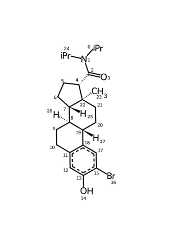 CC(C)N(C(=O)[C@H]1CC[C@H]2[C@@H]3CCc4cc(O)c(Br)cc4[C@H]3CC[C@]12C)C(C)C